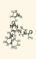 C=CC(=O)N1CCN(c2nc(OC[C@@H]3CCCN3C)nc3c2CN(c2cccc4c2CCCCC4)C3)CC1